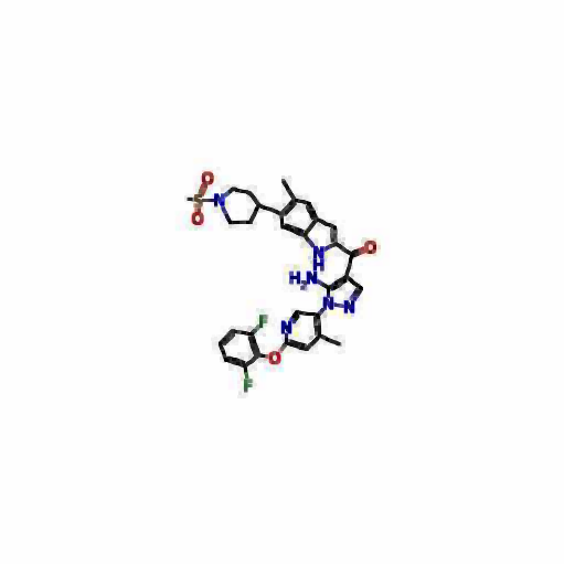 Cc1cc2cc(C(=O)c3cnn(-c4cnc(Oc5c(F)cccc5F)cc4C)c3N)[nH]c2cc1C1CCN(S(C)(=O)=O)CC1